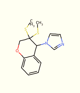 CSC1(SC)COc2ccccc2C1n1ccnc1